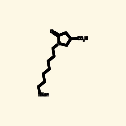 CCCCCCCCCCCCCCCCN1CC(C(=O)O)CC1=O